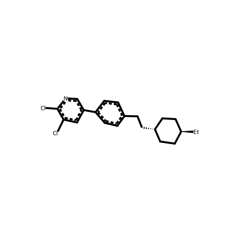 CC[C@H]1CC[C@H](CCc2ccc(-c3cnc(Cl)c(Cl)c3)cc2)CC1